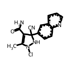 CC1=C(C(N)=O)C(C#N)(c2ccc3ncccc3c2)NN1Cl